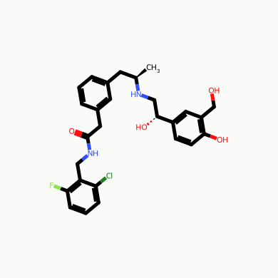 C[C@H](Cc1cccc(CC(=O)NCc2c(F)cccc2Cl)c1)NC[C@@H](O)c1ccc(O)c(CO)c1